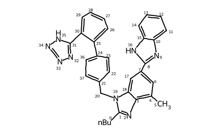 CCCCc1nc2c(C)cc(-c3nc4ccccc4[nH]3)cc2n1Cc1ccc(-c2ccccc2-c2nnn[nH]2)cc1